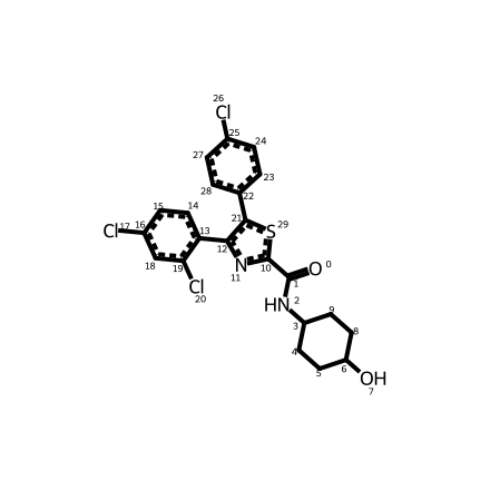 O=C(NC1CCC(O)CC1)c1nc(-c2ccc(Cl)cc2Cl)c(-c2ccc(Cl)cc2)s1